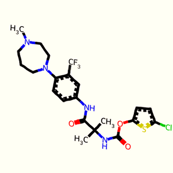 CN1CCCN(c2ccc(NC(=O)C(C)(C)NC(=O)Oc3ccc(Cl)s3)cc2C(F)(F)F)CC1